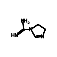 N=C(N)N1C=NCC1